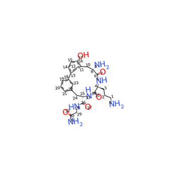 NCCC[C@@H]1NC(=O)[C@@H](N)Cc2cc(ccc2O)-c2cccc(c2)C[C@@H](C(=O)NCC(N)=O)NC1=O